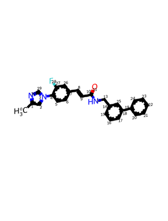 Cc1cn(-c2ccc(/C=C/C(=O)NCc3cccc(-c4ccccc4)c3)cc2F)cn1